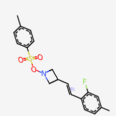 Cc1ccc(S(=O)(=O)ON2CC(/C=C/c3ccc(C)cc3F)C2)cc1